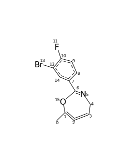 CC1=C=CCN=C(c2ccc(F)c(Br)c2)O1